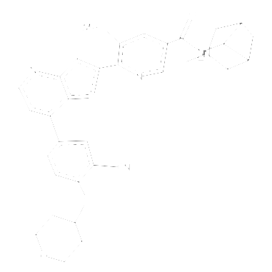 COc1cc(C(=O)NC2C3CC2CN(C)C3)cnc1-c1cc2nccc(-c3ccc(OC4CCOCC4)c(C#N)c3)c2o1